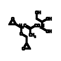 C(OCC1CO1)C1CO1.C=C(C)C(=O)O.OCC(O)CO